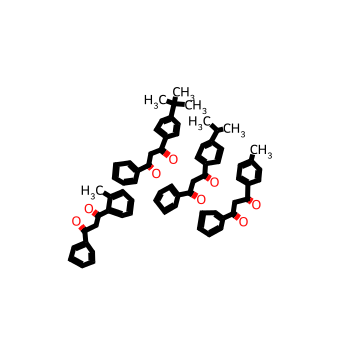 CC(C)(C)c1ccc(C(=O)CC(=O)c2ccccc2)cc1.CC(C)c1ccc(C(=O)CC(=O)c2ccccc2)cc1.Cc1ccc(C(=O)CC(=O)c2ccccc2)cc1.Cc1ccccc1C(=O)CC(=O)c1ccccc1